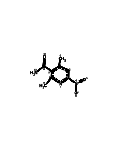 Cc1cc([N+](=O)[O-])nc(C)c1C(N)=O